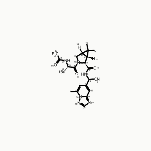 Cc1cc(C(C#N)NC(=O)[C@@H]2[C@@H]3[C@H](CN2C(=O)[C@@H](NC(=O)C(F)(F)F)C(C)(C)C)C3(C)C)cc2ncnn12